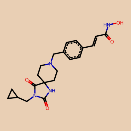 O=C(/C=C/c1ccc(CN2CCC3(CC2)NC(=O)N(CC2CC2)C3=O)cc1)NO